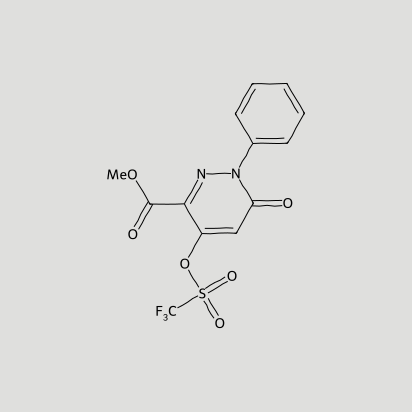 COC(=O)c1nn(-c2ccccc2)c(=O)cc1OS(=O)(=O)C(F)(F)F